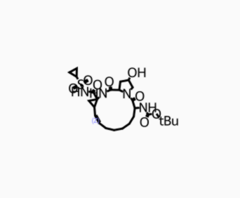 CC(C)(C)OC(=O)NC1CCCCC/C=C\C2CC2(C(=O)NS(=O)(=O)C2CC2)NC(=O)C2CC(O)CN2C1=O